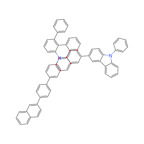 c1ccc(-c2ccccc2-c2c(-c3ccccc3)cccc2N(c2ccc(-c3ccc(-c4ccc5ccccc5c4)cc3)cc2)c2ccc(-c3ccc4c(c3)c3ccccc3n4-c3ccccc3)cc2)cc1